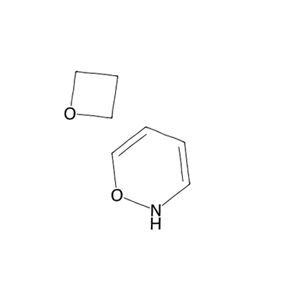 C1=CNOC=C1.C1COC1